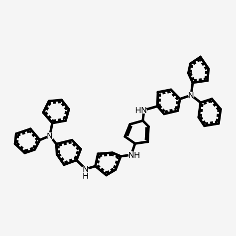 C1=CC(Nc2ccc(N(c3ccccc3)c3ccccc3)cc2)C=CC1Nc1ccc(Nc2ccc(N(c3ccccc3)c3ccccc3)cc2)cc1